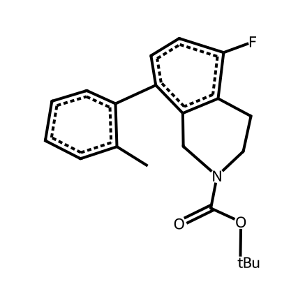 Cc1ccccc1-c1ccc(F)c2c1CN(C(=O)OC(C)(C)C)CC2